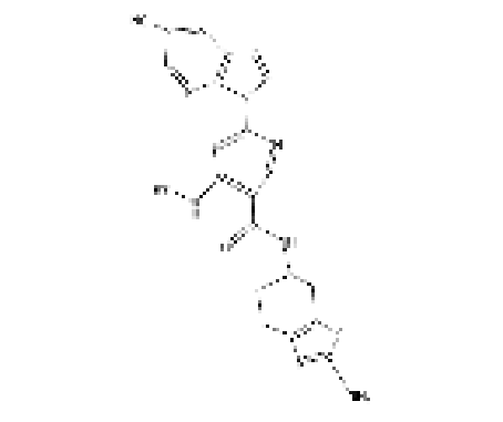 CC(C)Nc1cc(-n2ccc3cc(C#N)cnc32)ncc1C(=O)NC1CCc2nc(N)sc2C1